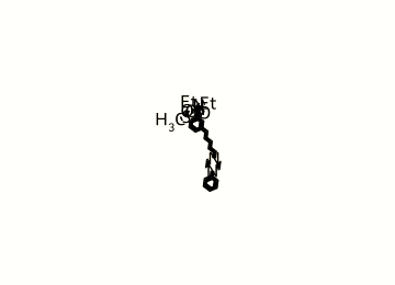 CCN(CC)S(=O)(=O)c1cc(CCCCCN2CCN(c3ccccc3)CC2)ccc1[S+](C)[O-]